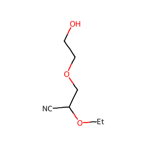 CCOC(C#N)COCCO